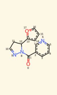 O=C(c1cccnc1)N1N=CCC1c1ccco1